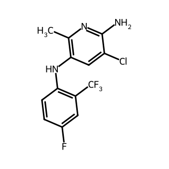 Cc1nc(N)c(Cl)cc1Nc1ccc(F)cc1C(F)(F)F